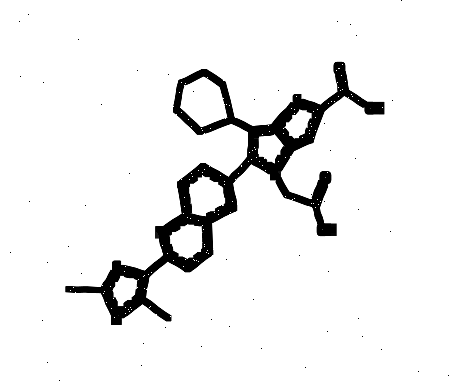 Cc1nc(C)c(-c2ccc3cc(-c4c(C5CCCCC5)c5sc(C(=O)O)cc5n4CC(=O)O)ccc3n2)s1